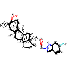 C[C@@]1(O)CC[C@@]2(C)[C@@H](CC[C@@H]3[C@@H]2CC[C@]2(C)[C@@H](C(=O)Cn4cc5ccc(F)cc5n4)CC[C@@H]32)C1